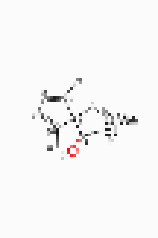 CCC(=O)C1(COC)C(C)=CC=C1C